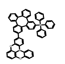 c1ccc([Si](c2ccccc2)(c2ccccc2)c2ccc3c(c2)-c2ccccc2-c2ccccc2-c2ccc(-c4ccc5c(c4)Oc4cccc6c4B5c4ccccc4O6)cc2-3)cc1